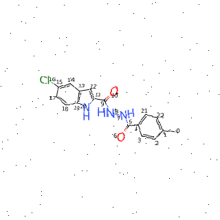 Cc1ccc(C(=O)NNC(=O)c2cc3cc(Cl)ccc3[nH]2)cc1